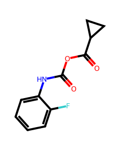 O=C(Nc1ccccc1F)OC(=O)C1CC1